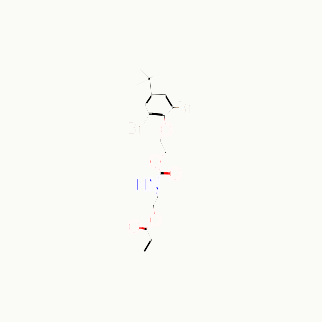 C=CC(=O)OCCNC(=O)OCCOc1c(Br)cc(C(C)(C)C)cc1Br